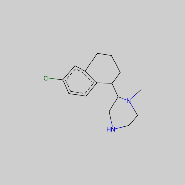 CN1CCNCC1C1CCCc2cc(Cl)ccc21